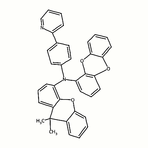 CC1(C)c2ccccc2Oc2c(N(c3ccc(-c4ccccn4)cc3)c3cccc4c3Oc3ccccc3O4)cccc21